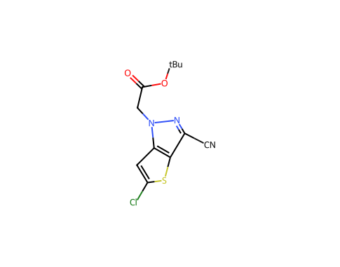 CC(C)(C)OC(=O)Cn1nc(C#N)c2sc(Cl)cc21